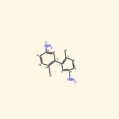 Cc1ccc(N)cc1-c1cc(N)ccc1C